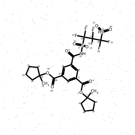 CC1(OC(=O)c2cc(C(=O)NS(=O)(=O)C(F)(F)C(F)(F)C(F)(F)[SH](=O)=O)cc(C(=O)OC3(C)CCCC3)c2)CCCC1